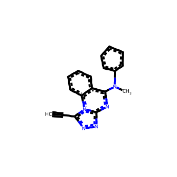 C#Cc1nnc2nc(N(C)c3ccccc3)c3ccccc3n12